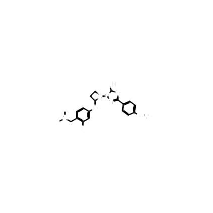 COc1ccc(C2=NN(N3CCC3Oc3ccc(CN(C)C)c(F)c3)C(C=O)O2)cc1